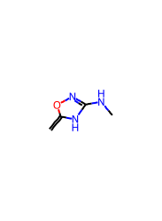 C=C1NC(NC)=NO1